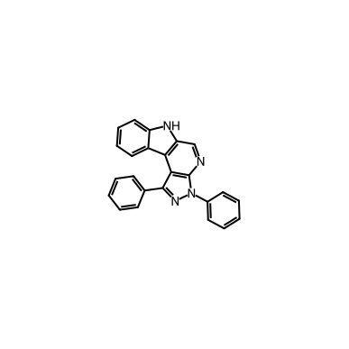 c1ccc(-c2nn(-c3ccccc3)c3ncc4[nH]c5ccccc5c4c23)cc1